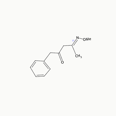 CO/N=C(\C)CC(=O)Cc1ccccc1